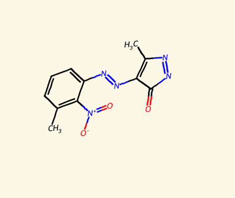 CC1=C(N=Nc2cccc(C)c2[N+](=O)[O-])C(=O)N=N1